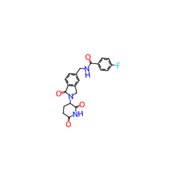 O=C1CCC(N2Cc3cc(CNC(=O)c4ccc(F)cc4)ccc3C2=O)C(=O)N1